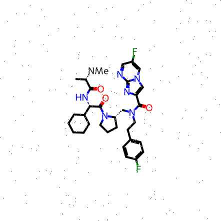 CN[C@@H](C)C(=O)N[C@H](C(=O)N1CCC[C@H]1CN(CCc1ccc(F)cc1)C(=O)c1cn2cc(F)cnc2n1)C1CCCCC1